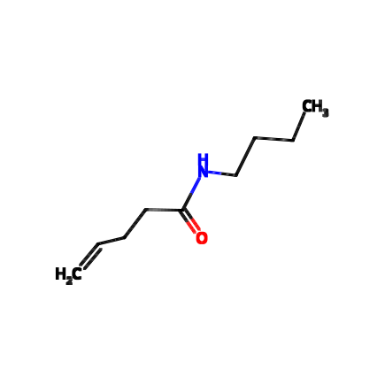 C=CCCC(=O)NCCCC